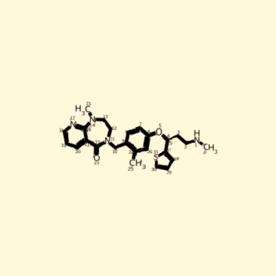 CNCC[C@H](Oc1ccc(CN2CCN(C)c3ncccc3C2=O)c(C)c1)c1cccs1